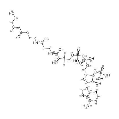 C/C(=C\C(=O)SCCNC(=O)CCNC(=O)[C@H](O)C(C)(C)COP(=O)(O)OP(=O)(O)OC[C@H]1O[C@@H](n2cnc3c(N)ncnc32)[C@H](O)[C@@H]1OP(=O)(O)O)CCO